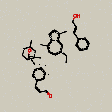 CC12CCC(CC1)C(C)(C)O2.CCc1ccc(C)c2ccc(C)c-2c1.O=C/C=C\c1ccccc1.OC/C=C/c1ccccc1